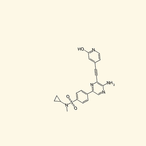 CN(C1CC1)S(=O)(=O)c1ccc(-c2cnc(N)c(C#Cc3ccnc(O)c3)n2)cc1